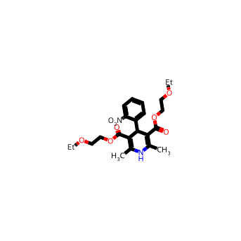 CCOCCOC(=O)C1=C(C)NC(C)=C(C(=O)OCCOCC)C1c1ccccc1[N+](=O)[O-]